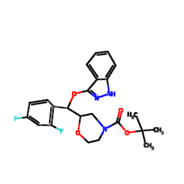 CC(C)(C)OC(=O)N1CCOC(C(Oc2n[nH]c3ccccc23)c2ccc(F)cc2F)C1